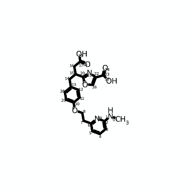 CNc1cccc(CCOc2ccc(CC(CC(=O)O)c3nc(C(=O)O)co3)cc2)n1